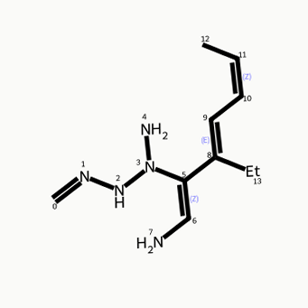 C=NNN(N)C(=C\N)/C(=C/C=C\C)CC